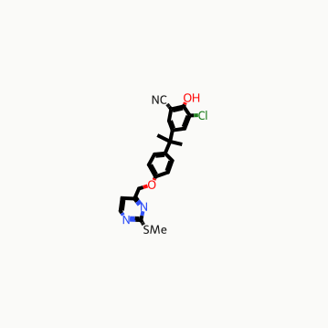 CSc1nccc(COc2ccc(C(C)(C)c3cc(Cl)c(O)c(C#N)c3)cc2)n1